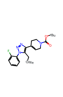 COCc1c(C2=CCN(C(=O)OC(C)(C)C)CC2)nnn1-c1ccccc1F